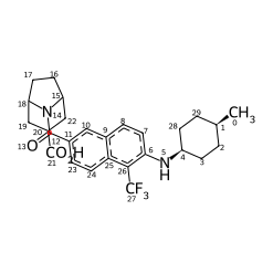 C[C@H]1CC[C@@H](Nc2ccc3cc(C(=O)N4C5CCC4CC(C(=O)O)C5)ccc3c2C(F)(F)F)CC1